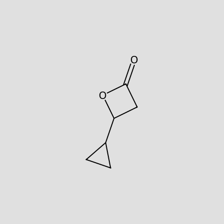 O=C1CC(C2CC2)O1